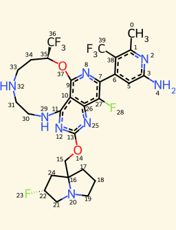 Cc1nc(N)cc(-c2nc3c4c(nc(OCC56CCCN5C[C@H](F)C6)nc4c2F)NCCNCC[C@@H](C(F)(F)F)O3)c1C(F)(F)F